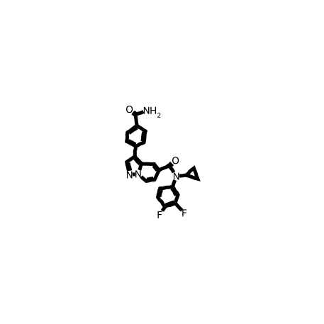 NC(=O)c1ccc(-c2cnn3ccc(C(=O)N(c4ccc(F)c(F)c4)C4CC4)cc23)cc1